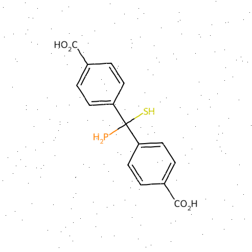 O=C(O)c1ccc(C(P)(S)c2ccc(C(=O)O)cc2)cc1